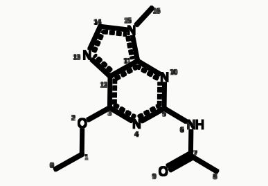 CCOc1nc(NC(C)=O)nc2c1ncn2C